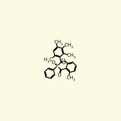 Cc1cc(C)c(C(=O)P(=O)(C(=O)c2c(C)cccc2Cl)c2ccccc2)c(C)c1C